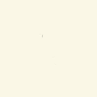 C=CCOC(=O)CCC(=O)OCCCC(=O)OCc1ccc(OC)cc1